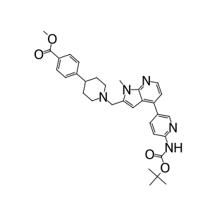 COC(=O)c1ccc(C2CCN(Cc3cc4c(-c5ccc(NC(=O)OC(C)(C)C)nc5)ccnc4n3C)CC2)cc1